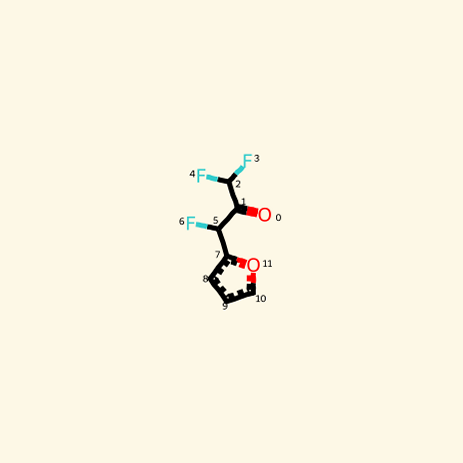 O=C(C(F)F)C(F)c1ccco1